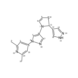 Cc1cc(-n2cc(N3C=CSC3c3cn[nH]c3)cn2)cc(C)n1